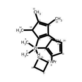 CCCC1=[C]([Zr]([CH3])([CH3])([C]2=C(C)C(C)=C(C)C2C)[SiH]2CCC2)CC=C1